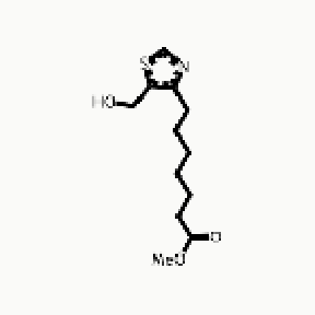 COC(=O)CCCCCCc1ncsc1CO